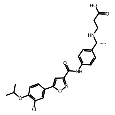 CC(C)Oc1ccc(-c2cc(C(=O)Nc3ccc([C@@H](C)NCCC(=O)O)cc3)no2)cc1Cl